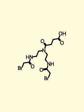 O=C(O)CCC(=O)N(CCNC(=O)CBr)CCNC(=O)CBr